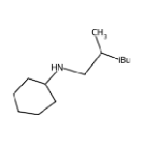 CCC(C)C(C)CNC1CCCCC1